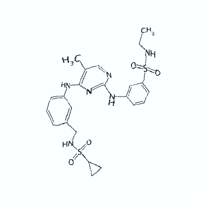 CCNS(=O)(=O)c1cccc(Nc2ncc(C)c(Nc3cccc(CNS(=O)(=O)C4CC4)c3)n2)c1